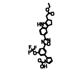 CCOC(=O)CC1CCc2c1[nH]c1ccc(-c3noc(-c4cc(OC(F)(F)F)cc(-c5cccn5C(=O)O)c4)n3)cc21